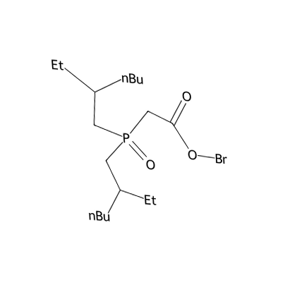 CCCCC(CC)CP(=O)(CC(=O)OBr)CC(CC)CCCC